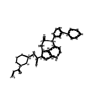 C=CC(=O)N1CCC[C@@H](NC(=O)c2sc3nccc4c3c2NC(=O)N4c2cc(-c3ccccc3)ncn2)C1